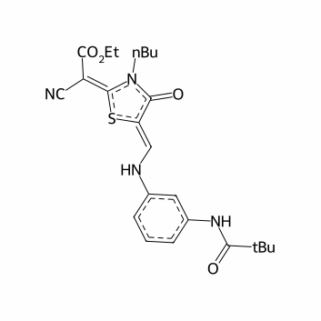 CCCCn1c(=C(C#N)C(=O)OCC)sc(=CNc2cccc(NC(=O)C(C)(C)C)c2)c1=O